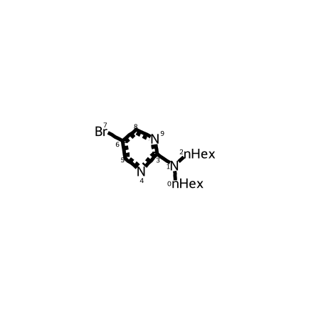 CCCCCCN(CCCCCC)c1ncc(Br)cn1